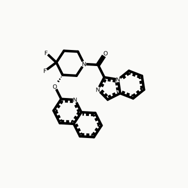 O=C(c1ncc2ccccn12)N1CCC(F)(F)[C@@H](Oc2ccc3ccccc3n2)C1